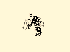 CON=C[C@]1(C)C[C@@H](C(Oc2ccc3c(c2F)B(O)OC3)C(=O)O)[C@@]2(C)[C@H](C)CC[C@]3(CCC(=O)[C@H]32)[C@@H](C)[C@@H]1O